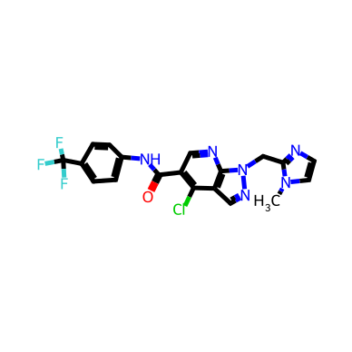 Cn1ccnc1Cn1ncc2c(Cl)c(C(=O)Nc3ccc(C(F)(F)F)cc3)cnc21